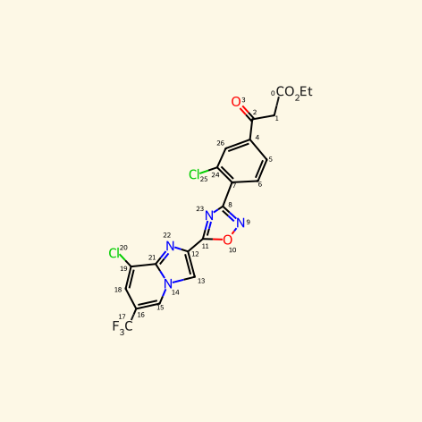 CCOC(=O)CC(=O)c1ccc(-c2noc(-c3cn4cc(C(F)(F)F)cc(Cl)c4n3)n2)c(Cl)c1